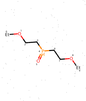 CCOCC[PH](=O)CCOCC